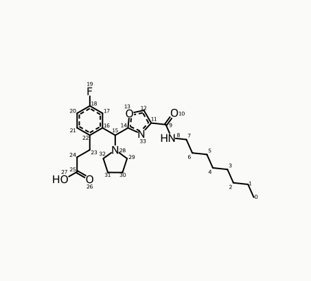 CCCCCCCCNC(=O)c1coc(C(c2cc(F)ccc2CCC(=O)O)N2CCCC2)n1